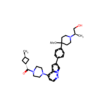 COC1(c2ccc(-c3cc4c(N5CCN(C(=O)[C@H]6C[C@H](C)C6)CC5)ccnn4c3)cc2)CCN([C@H](C)CO)CC1